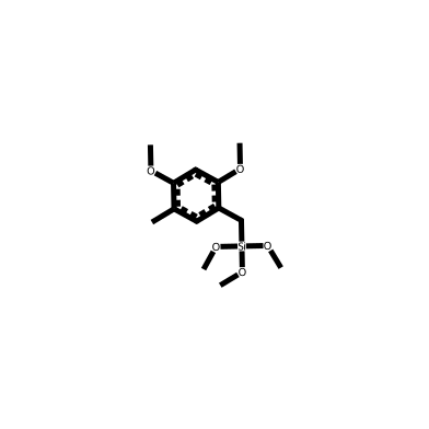 COc1cc(OC)c(C[Si](OC)(OC)OC)cc1C